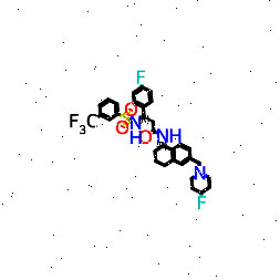 O=C(C[C@@H](NS(=O)(=O)c1cccc(C(F)(F)F)c1)c1ccc(F)cc1)N[C@@H]1CCCc2cc(CN3CCC(F)CC3)ccc21